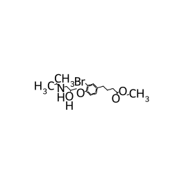 CCOC(=O)CCCc1ccc(OCC(O)CNC(C)C)c(Br)c1